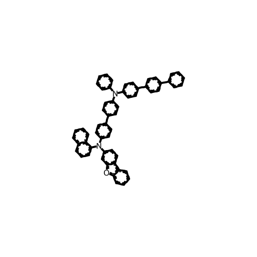 c1ccc(-c2ccc(-c3ccc(N(c4ccccc4)c4ccc(-c5ccc(N(c6ccc7c(c6)oc6ccccc67)c6cccc7ccccc67)cc5)cc4)cc3)cc2)cc1